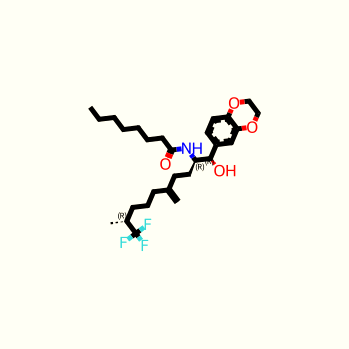 C=C(CCC[C@@H](C)C(F)(F)F)CC[C@@H](NC(=O)CCCCCCC)[C@H](O)c1ccc2c(c1)OCCO2